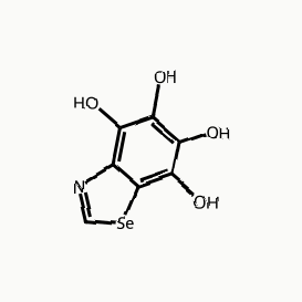 Oc1c(O)c(O)c2[se]cnc2c1O